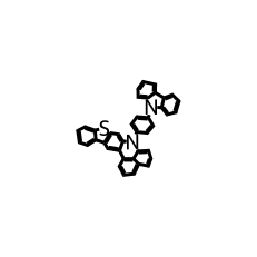 c1cc2c3c(cccc3c1)N(c1ccc(-n3c4ccccc4c4ccccc43)cc1)c1cc3sc4ccccc4c3cc1-2